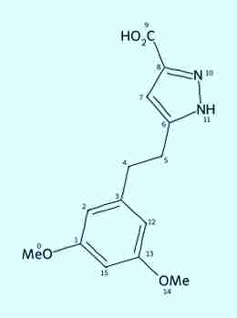 COc1cc(CCc2cc(C(=O)O)n[nH]2)cc(OC)c1